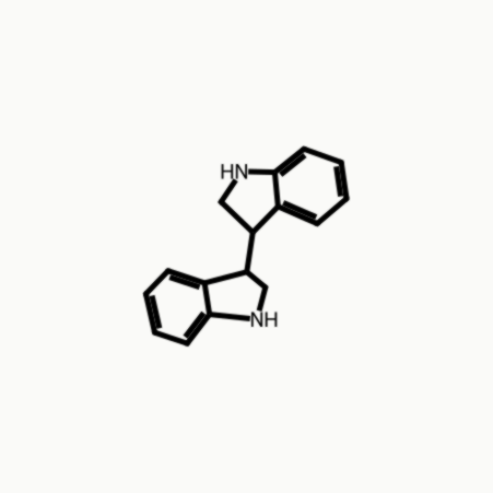 c1ccc2c(c1)NCC2C1CNc2ccccc21